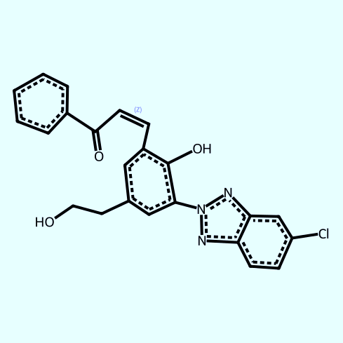 O=C(/C=C\c1cc(CCO)cc(-n2nc3ccc(Cl)cc3n2)c1O)c1ccccc1